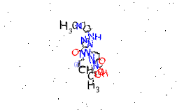 C/C=C\Cn1c(=O)c2cnc(Nc3ccc4c(c3)CN(C)CC4)nc2n1-c1ccc2c(n1)N(CC(C)O)C(=O)CO2